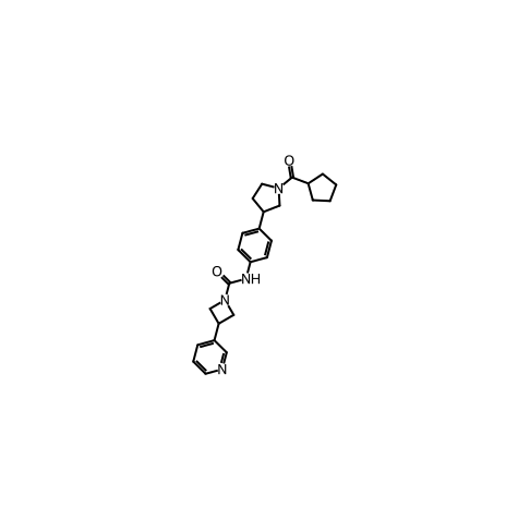 O=C(Nc1ccc(C2CCN(C(=O)C3CCCC3)C2)cc1)N1CC(c2cccnc2)C1